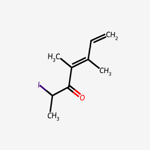 C=C/C(C)=C(\C)C(=O)C(C)I